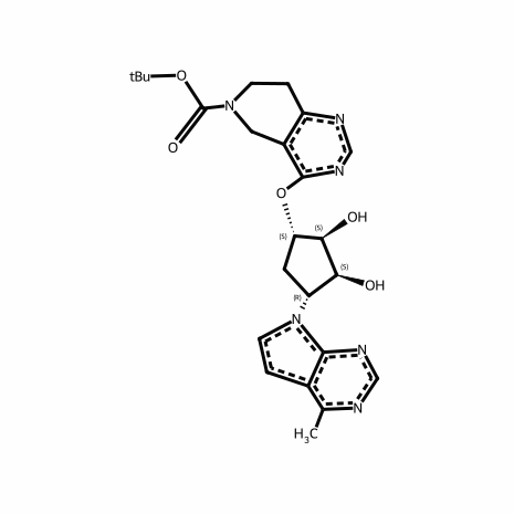 Cc1ncnc2c1ccn2[C@@H]1C[C@H](Oc2ncnc3c2CN(C(=O)OC(C)(C)C)CC3)[C@@H](O)[C@H]1O